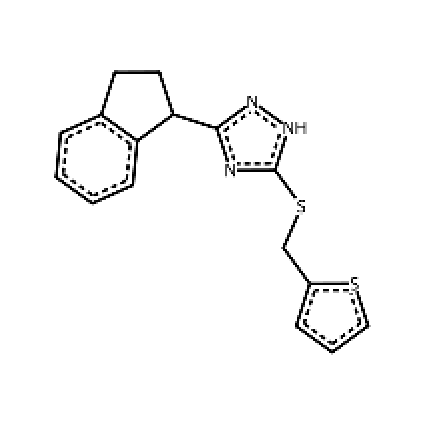 c1csc(CSc2nc(C3CCc4ccccc43)n[nH]2)c1